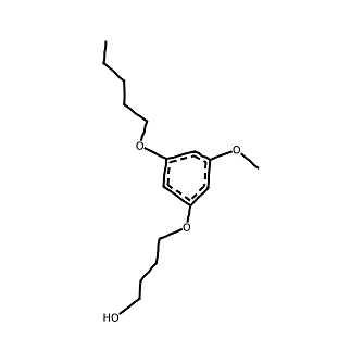 CCCCCOc1cc(OC)cc(OCCCCO)c1